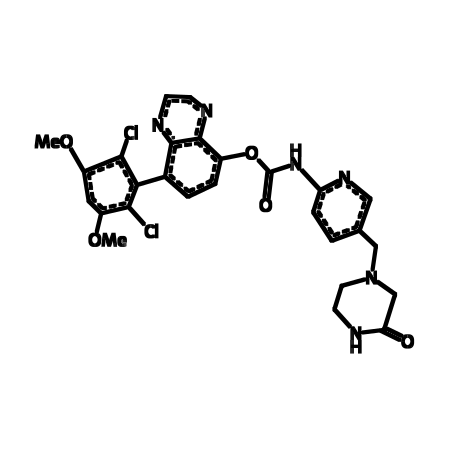 COc1cc(OC)c(Cl)c(-c2ccc(OC(=O)Nc3ccc(CN4CCNC(=O)C4)cn3)c3nccnc23)c1Cl